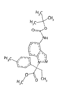 CCC(C(=O)OC)(c1ccc(C)cc1)n1ncc2c(NC(=O)OC(C)(C)C)cccc21